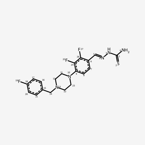 NC(=S)NN=Cc1ccc(N2CCN(Cc3ccc(F)cc3)CC2)c(F)c1F